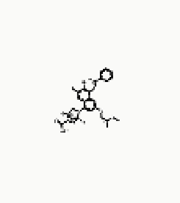 CO[C@@H](C)COc1cc(N2C[C@@H]3C[C@H]2CN3C(=O)O)c2cc(I)c(Br)c(O[C@@H](C)c3ccccc3)c2n1